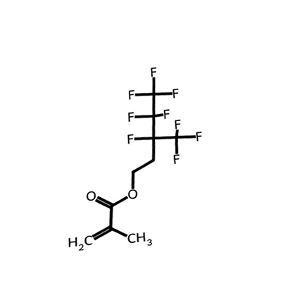 C=C(C)C(=O)OCCC(F)(C(F)(F)F)C(F)(F)C(F)(F)F